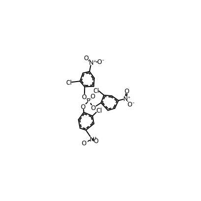 O=[N+]([O-])c1ccc(OP(=O)(Oc2ccc([N+](=O)[O-])cc2Cl)Oc2ccc([N+](=O)[O-])cc2Cl)c(Cl)c1